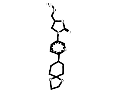 COCC1CN(c2ccc(C3CCC4(CC3)OCCO4)nc2)C(=O)O1